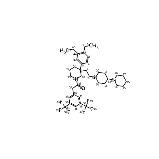 CCc1ccc([C@@]2(CCN3CCC(N4CCCCC4)CC3)CCCN(C(=O)Cc3cc(C(F)(F)F)cc(C(F)(F)F)c3)C2)cc1CC